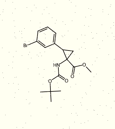 COC(=O)C1(NC(=O)OC(C)(C)C)CC1c1cccc(Br)c1